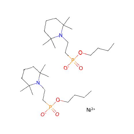 CCCCOP(=O)([O-])CCN1C(C)(C)CCCC1(C)C.CCCCOP(=O)([O-])CCN1C(C)(C)CCCC1(C)C.[Ni+2]